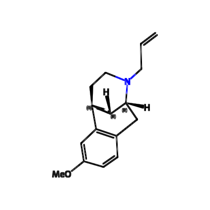 C=CCN1CC[C@]23CCCC[C@H]2[C@H]1Cc1ccc(OC)cc13